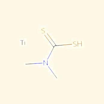 CN(C)C(=S)S.[Ti]